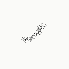 Cn1c(=O)n(C2CCC(=O)NC2=O)c2cccc(-c3ccc4c(c3)CCN(C3CCN(C(=O)OC(C)(C)C)CC3(F)F)C4)c21